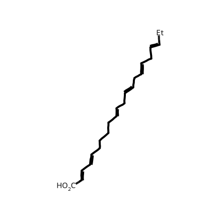 CCC=CCC=CCC=CCC=CCCCCC=CC=CC(=O)O